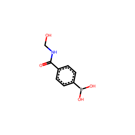 O=C(NCO)c1ccc(B(O)O)cc1